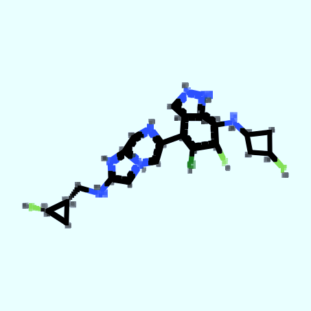 Fc1c(Cl)c(-c2cn3cc(NC[C@@H]4C[C@@H]4F)nc3cn2)c2cn[nH]c2c1NC1CC(F)C1